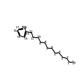 ICCCCCCCCCCCCc1ccccn1